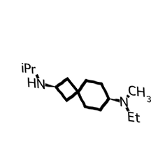 CCN(C)[C@H]1CCC2(CC1)C[C@H](NC(C)C)C2